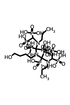 CCCN(C(P(=O)(O)O)P(=O)(O)O)C(N(CCCCO)C(N(CCC)C(P(=O)(O)O)P(=O)(O)O)(P(=O)(O)O)P(=O)(O)O)(P(=O)(O)O)P(=O)(O)O